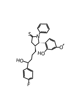 COc1ccc([C@@H]2[C@@H](CCCC(O)c3ccc(F)cc3)CC(=S)N2c2ccccc2)c(O)c1